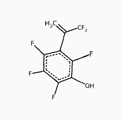 C=C(c1c(F)c(O)c(F)c(F)c1F)C(F)(F)F